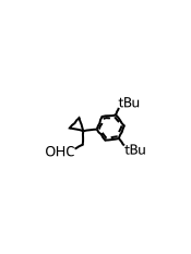 CC(C)(C)c1cc(C(C)(C)C)cc(C2(CC=O)CC2)c1